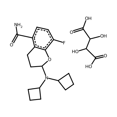 NC(=O)c1ccc(F)c2c1CCC(N(C1CCC1)C1CCC1)O2.O=C(O)C(O)C(O)C(=O)O